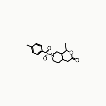 Cc1ccc(S(=O)(=O)N2CCC3CC(=O)OC(I)C3C2)cc1